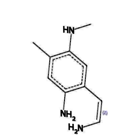 CNc1cc(/C=C\N)c(N)cc1C